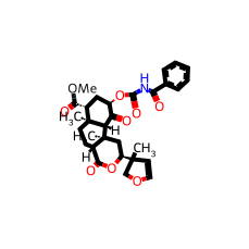 COC(=O)[C@@H]1C[C@H](OC(=O)NC(=O)c2ccccc2)C(=O)[C@H]2[C@@]1(C)CC[C@H]1C(=O)O[C@H](C3(C)C=COC3)C[C@]21C